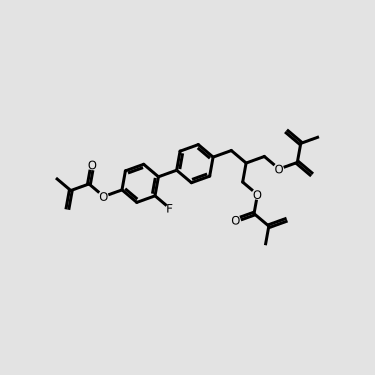 C=C(C)C(=C)OCC(COC(=O)C(=C)C)Cc1ccc(-c2ccc(OC(=O)C(=C)C)cc2F)cc1